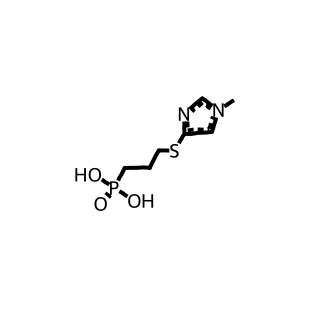 Cn1cnc(SCCCP(=O)(O)O)c1